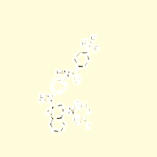 CN(C)c1cc(NC2CCC(NC(=O)c3ccc(C(F)(F)F)cc3)CC2)nc2ccccc12